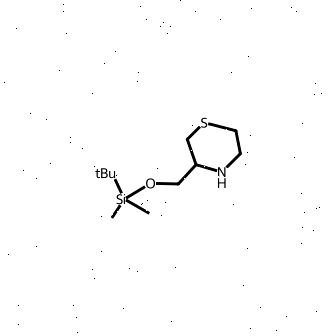 CC(C)(C)[Si](C)(C)OCC1CSCCN1